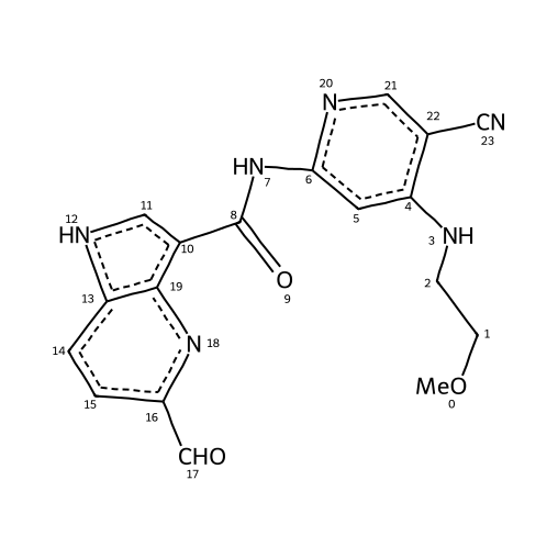 COCCNc1cc(NC(=O)c2c[nH]c3ccc(C=O)nc23)ncc1C#N